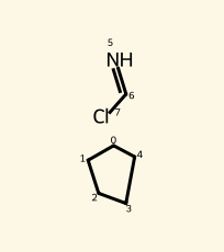 C1CCCC1.N=CCl